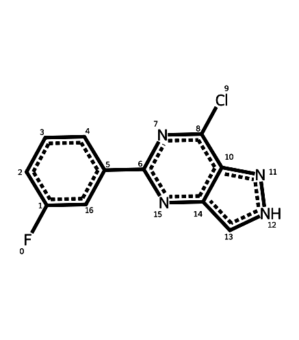 Fc1cccc(-c2nc(Cl)c3n[nH]cc3n2)c1